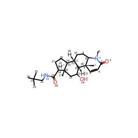 CN1C(=O)C=C[C@@]2(C)C1CC[C@@H]1[C@H]2C(O)C[C@]2(C)C(C(=O)NCC(C)(C)C)CC[C@@H]12